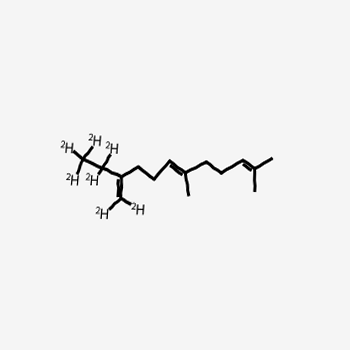 [2H]C([2H])=C(CC/C=C(\C)CCC=C(C)C)C([2H])([2H])C([2H])([2H])[2H]